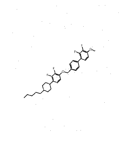 CCCCCC1CCC(c2ccc(OCc3ccc(-c4ccc(OC)c(F)c4F)cc3)c(F)c2F)CC1